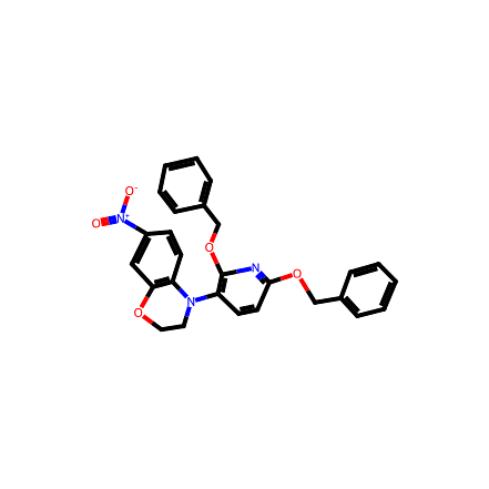 O=[N+]([O-])c1ccc2c(c1)OCCN2c1ccc(OCc2ccccc2)nc1OCc1ccccc1